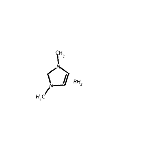 B.CN1C=CN(C)C1